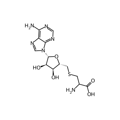 Nc1ncnc2c1ncn2[C@@H]1O[C@H](CSCC(N)C(=O)O)[C@@H](O)[C@H]1O